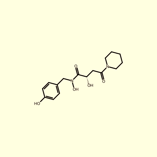 O=C([C@@H](O)CC(=O)N1CCCCC1)N(O)Cc1ccc(O)cc1